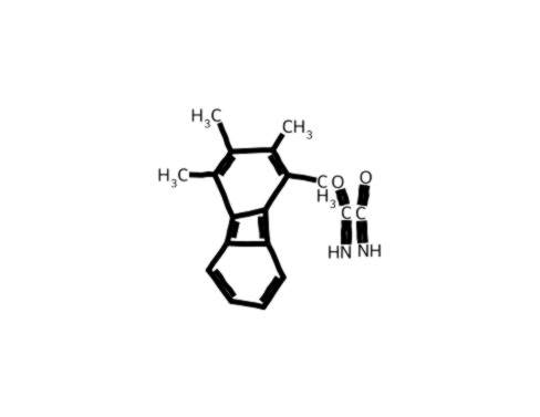 Cc1c(C)c(C)c2c(c1C)=c1ccccc1=2.N=C=O.N=C=O